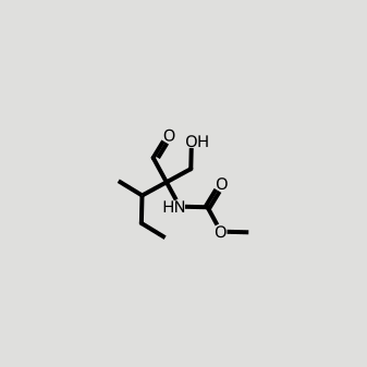 CCC(C)C(C=O)(CO)NC(=O)OC